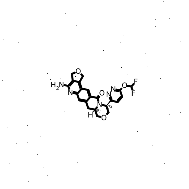 Nc1nc2cc3c(cc2c2c1COC2)C(=O)N1[C@@H](COC[C@@H]1c1ccc(OC(F)F)nn1)C3